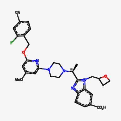 COc1cc(OCc2ccc(C#N)cc2F)nc(N2CCN([C@@H](C)c3nc4ccc(C(=O)O)cc4n3CC3CCO3)CC2)c1